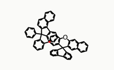 c1ccc(C2(c3ccccc3-c3ccc4c(c3)C3(c5cc6ccccc6cc5O4)c4ccccc4-c4ccccc43)c3ccccc3-c3c2ccc2ccccc32)cc1